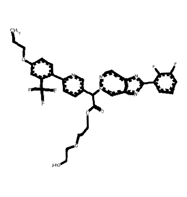 CCCOc1ccc(-c2ccc(C(C(=O)OCCOCCO)n3cc4nc(-c5cccc(F)c5F)nc-4cn3)cn2)c(C(F)(F)F)c1